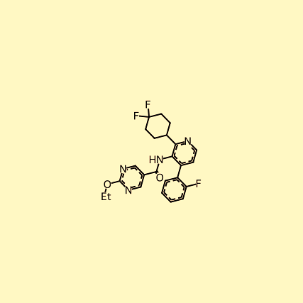 CCOc1ncc(C(=O)Nc2c(-c3ccccc3F)ccnc2C2CCC(F)(F)CC2)cn1